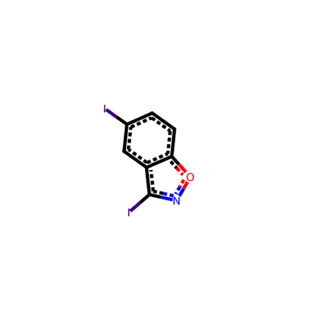 Ic1ccc2onc(I)c2c1